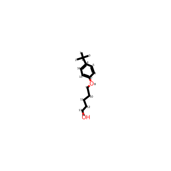 CC(C)(C)c1ccc(OCCCCCO)cc1